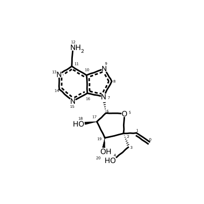 C=C[C@]1(CO)O[C@@H](n2cnc3c(N)ncnc32)[C@H](O)[C@@H]1O